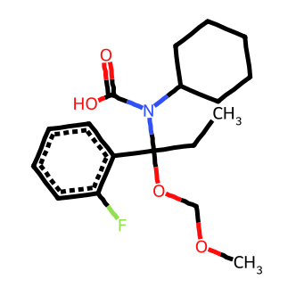 CCC(OCOC)(c1ccccc1F)N(C(=O)O)C1CCCCC1